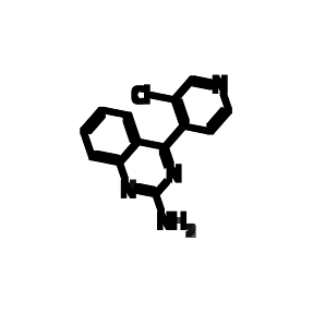 Nc1nc(-c2ccncc2Cl)c2ccccc2n1